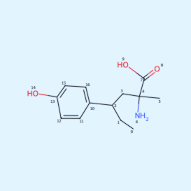 CCC(CC(C)(N)C(=O)O)c1ccc(O)cc1